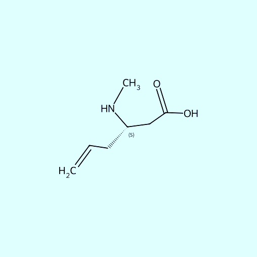 C=CC[C@@H](CC(=O)O)NC